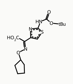 CC(C)(C)OC(=O)Nc1nc(C(=NOC2CCCC2)C(=O)O)cs1